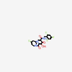 O=C(NCc1c(F)cc(F)cc1F)c1cn2c(c(O)c1=O)C(=O)N1CC=C(F)CC2C1